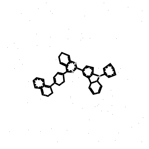 C1=CC2c3cc(-c4nc(C5=CC=C(C6=c7ccccc7=CCC6)CC5)c5c(n4)=CCCC=5)ccc3N(c3ccccc3)C2C=C1